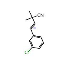 CC(C)(C#N)/C=C/c1cccc(Cl)c1